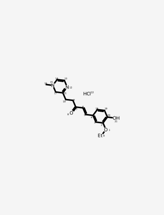 CCOc1cc(C=CC(=O)CCC2=NC=CN(C)C2)ccc1O.Cl